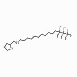 FC(F)(F)C(F)(F)C(F)(F)CCCCCCCCCCCOCC1CCCO1